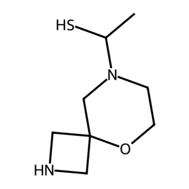 CC(S)N1CCOC2(CNC2)C1